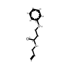 C=CCSC(Cl)CCOc1ccccc1